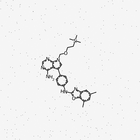 Cc1cc(C)c2oc(Nc3ccc(-c4cn(COCC[Si](C)(C)C)c5ncnc(N)c45)cc3)nc2c1